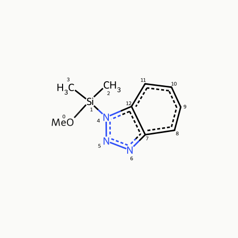 CO[Si](C)(C)n1nnc2ccccc21